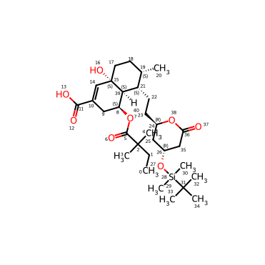 CCC(C)(C)C(=O)O[C@H]1CC(C(=O)O)=C[C@@]2(O)CC[C@H](C)[C@H](CC[C@@H]3C[C@@H](O[Si](C)(C)C(C)(C)C)CC(=O)O3)[C@@H]12